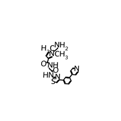 CC(C)(CN)n1ccc(C(=O)NCC(=O)Nc2nc(-c3cccc(-c4ccncc4)c3)cs2)c1